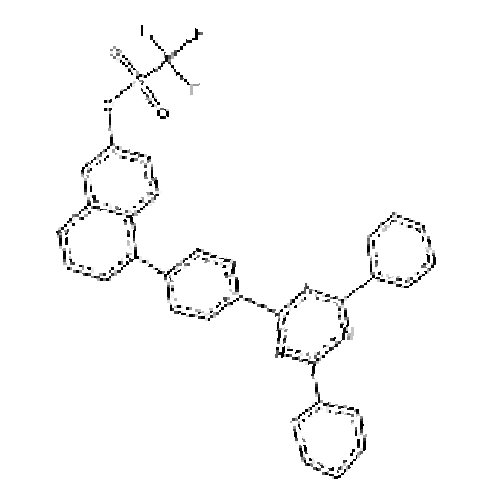 O=S(=O)(Oc1ccc2c(-c3ccc(-c4nc(-c5ccccc5)nc(-c5ccccc5)n4)cc3)cccc2c1)C(F)(F)F